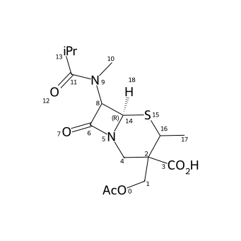 CC(=O)OCC1(C(=O)O)CN2C(=O)C(N(C)C(=O)C(C)C)[C@H]2SC1C